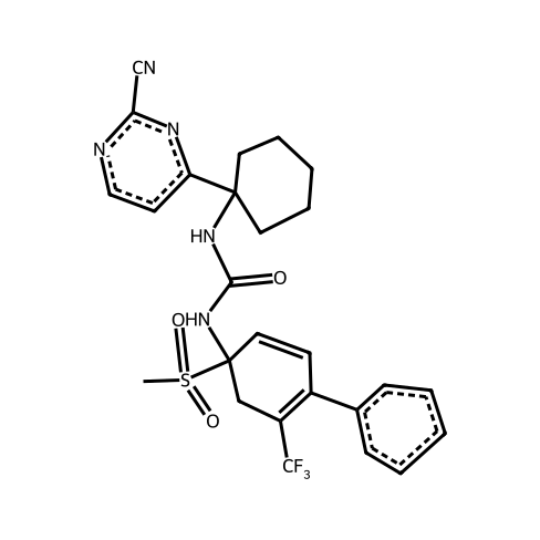 CS(=O)(=O)C1(NC(=O)NC2(c3ccnc(C#N)n3)CCCCC2)C=CC(c2ccccc2)=C(C(F)(F)F)C1